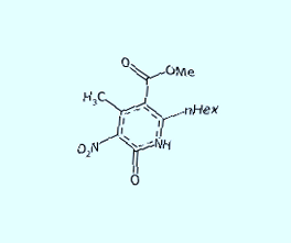 CCCCCCc1[nH]c(=O)c([N+](=O)[O-])c(C)c1C(=O)OC